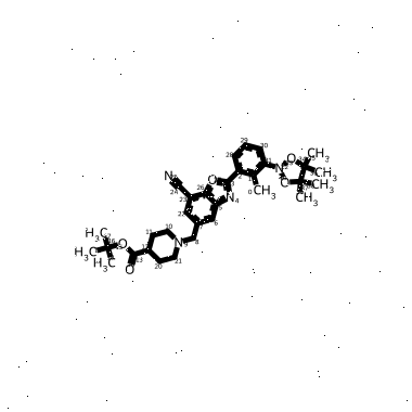 Cc1c(-c2nc3cc(CN4CCC(C(=O)OC(C)(C)C)CC4)cc(C#N)c3o2)cccc1N1OC(C)(C)C(C)(C)O1